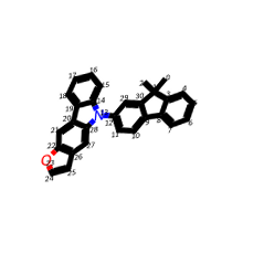 CC1(C)c2ccccc2-c2ccc(-n3c4ccccc4c4cc5occc5cc43)cc21